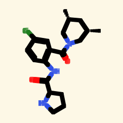 C[C@@H]1C[C@H](C)CN(C(=O)c2cc(Cl)ccc2NC(=O)C2CCCN2)C1